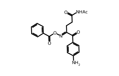 CC(=O)NC(=O)CC/C(=N\OC(=O)c1ccccc1)C(=O)c1ccc(N)cc1